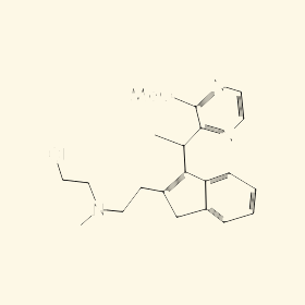 COc1nccnc1C(C)C1=C(CCN(C)CCO)Cc2ccccc21